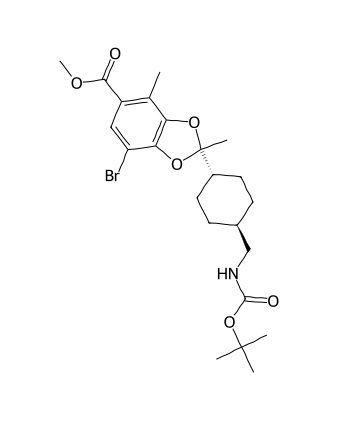 COC(=O)c1cc(Br)c2c(c1C)OC(C)([C@H]1CC[C@H](CNC(=O)OC(C)(C)C)CC1)O2